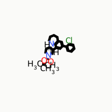 CC(C)(C)OC(=O)N1CC[C@H]2[C@@H](C1)c1cc(-c3ccccc3Cl)cc3c1N2CCCC3